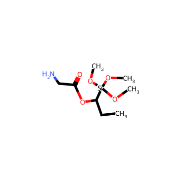 CCC(OC(=O)CN)[Si](OC)(OC)OC